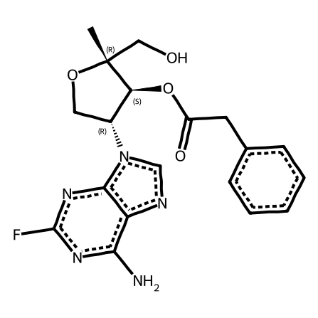 C[C@]1(CO)OC[C@@H](n2cnc3c(N)nc(F)nc32)[C@@H]1OC(=O)Cc1ccccc1